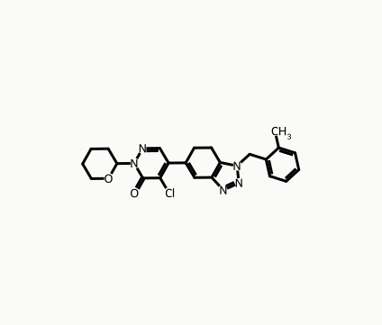 Cc1ccccc1Cn1nnc2c1CCC(c1cnn(C3CCCCO3)c(=O)c1Cl)=C2